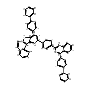 c1ccc(-c2ccc(-c3nc(-c4ccc(-c5nc(-c6ccc(-c7ccccc7)cc6)c6sc7ccc8ccccc8c7c6n5)cc4)nc4ccccc34)cc2)cc1